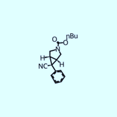 CCCCOC(=O)N1C[C@@H]2[C@H](C1)[C@]2(C#N)c1ccccc1